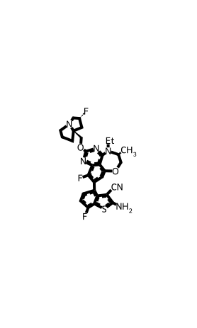 CCN1c2nc(OC[C@@]34CCCN3C[C@H](F)C4)nc3c(F)c(-c4ccc(F)c5sc(N)c(C#N)c45)cc(c23)OC[C@@H]1C